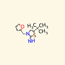 CC(C)(C)c1cn(Cc2ccco2)c(=N)s1